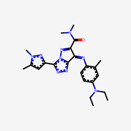 CCN(CC)c1ccc(/N=C2/C(C(=O)N(C)C)=Nn3c2nnc3-c2cc(C)n(C)n2)c(C)c1